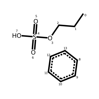 CCCOS(=O)(=O)O.c1ccccc1